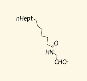 CCCCCCCCCCCCCC(=O)NC[C]=O